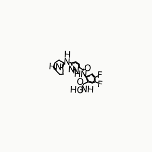 O=C(Nc1cc(F)c(F)cc1C(=O)NO)c1ccc(NC2=C3CCC(=CCC2)N3)nn1